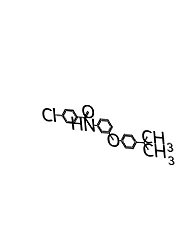 CC(C)c1ccc(Oc2cccc(NC(=O)c3ccc(Cl)cc3)c2)cc1